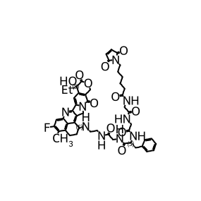 CC[C@@]1(O)C(=O)OCc2c1cc1n(c2=O)Cc2c-1nc1cc(F)c(C)c3c1c2[C@@H](NCCNC(=O)CNC(=O)[C@H](Cc1ccccc1)NC(=O)CNC(=O)CNC(=O)CCCCCN1C(=O)C=CC1=O)CC3